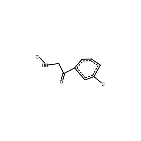 O=C(CNCl)c1cccc(Cl)c1